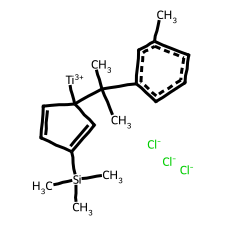 Cc1cccc(C(C)(C)[C]2([Ti+3])C=CC([Si](C)(C)C)=C2)c1.[Cl-].[Cl-].[Cl-]